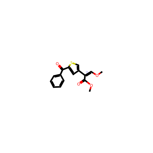 CO/C=C(\C(=O)OC)c1csc(C(=O)c2ccccc2)c1